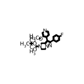 COc1cnccc1-c1c(-c2ccc(F)cc2)nn2c1CN(C(=O)OC(C)(C)C)CC2